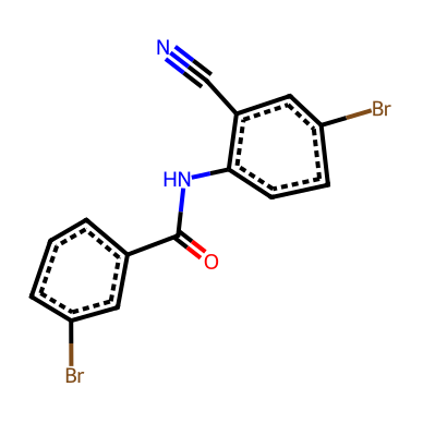 N#Cc1cc(Br)ccc1NC(=O)c1cccc(Br)c1